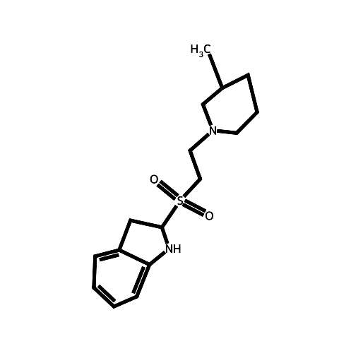 CC1CCCN(CCS(=O)(=O)C2Cc3ccccc3N2)C1